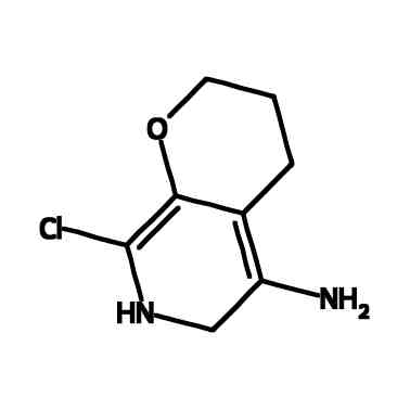 NC1=C2CCCOC2=C(Cl)NC1